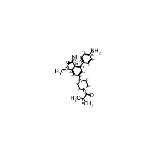 CC(C)C(=O)N1CCN(c2cc(-c3ccc(N)cc3)c3c(N)nn(C)c3c2)CC1